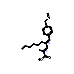 C=NCc1ccc(/C=C(/C=C(\C)C(=O)O)CCCCCC)cc1